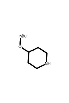 CCCCOC1CCNCC1